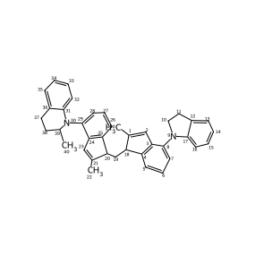 CC1=Cc2c(cccc2N2CCc3ccccc32)C1CC1C(C)=Cc2c1cccc2N1c2ccccc2CCC1C